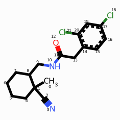 CC1(C#N)CCCCC1CNC(=O)Cc1ccc(Cl)cc1Cl